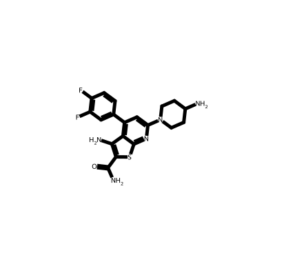 NC(=O)c1sc2nc(N3CCC(N)CC3)cc(-c3ccc(F)c(F)c3)c2c1N